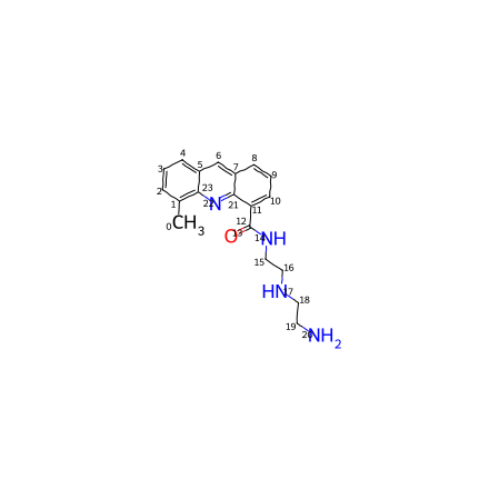 Cc1cccc2cc3cccc(C(=O)NCCNCCN)c3nc12